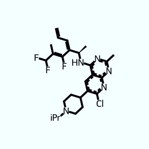 C=C/C=C(\C(F)=C(/C)C(F)F)[C@@H](C)Nc1nc(C)nc2nc(Cl)c(C3CCN(C(C)C)CC3)cc12